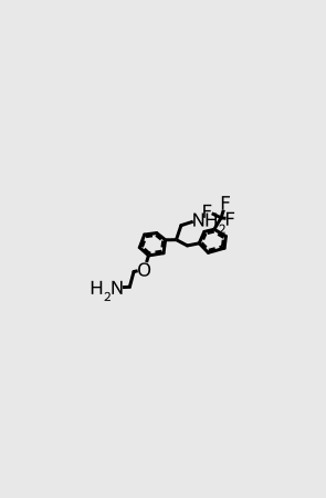 NCCOc1cccc(C(CN)Cc2cccc(C(F)(F)F)c2)c1